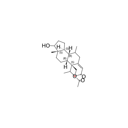 CC(=O)OC[C@@]12C(=CC(=O)CC1C)CC(C)[C@@H]1[C@H]2CC[C@]2(C)C(O)CC[C@@H]12